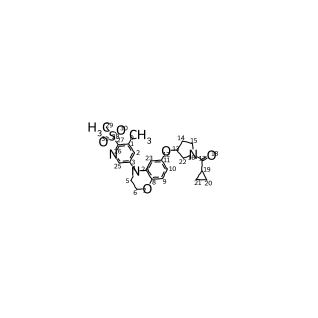 Cc1cc(N2CCOc3ccc(OC4CCN(C(=O)C5CC5)C4)cc32)cnc1S(C)(=O)=O